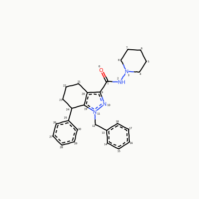 O=C(NN1CCCCC1)c1nn(Cc2ccccc2)c2c1CCCC2c1ccccc1